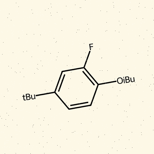 CC(C)COc1ccc(C(C)(C)C)cc1F